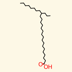 CCCCCCCCC(CCC)CCCCCCCCCCCCCCCCC(=O)O